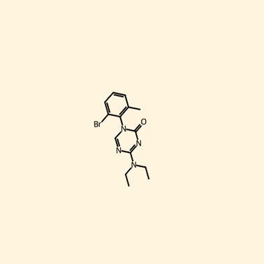 CCN(CC)c1ncn(-c2c(C)cccc2Br)c(=O)n1